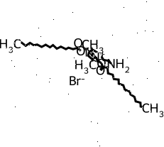 CCCCCCCCCCCCCCCC(=O)OC(C)N1CC[N+](CCCN)(C(C)OC(=O)CCCCCCCCCCCCCCC)CC1.[Br-]